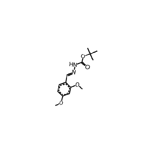 COc1ccc(C=NNC(=O)OC(C)(C)C)c(OC)c1